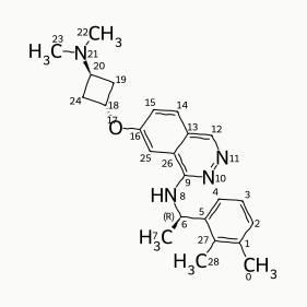 Cc1cccc([C@@H](C)Nc2nncc3ccc(O[C@H]4C[C@H](N(C)C)C4)cc23)c1C